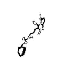 O=C(NCCCC(O)C(=O)N1C(=O)CCC1=O)OCc1ccccc1